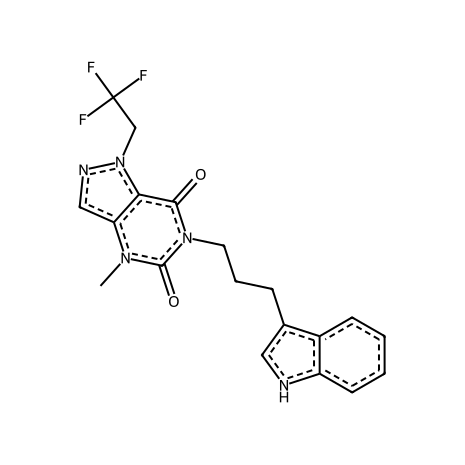 Cn1c(=O)n(CCCc2c[nH]c3ccccc23)c(=O)c2c1cnn2CC(F)(F)F